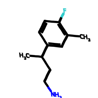 Cc1cc(C(C)CCN)ccc1F